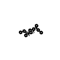 c1ccc(-c2ccc(N(c3ccccc3)c3ccc4c(c3)Sc3ccc(-c5nc(-c6cccc(-c7ccccc7)c6)c6ccccc6n5)c5cccc-4c35)cc2)cc1